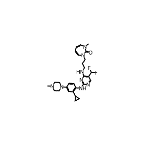 CN1CCN(c2ccc(Nc3ncc(C(F)F)c(NCCCN4C=CC=CN(C)C4=O)n3)c(C3CC3)c2)CC1